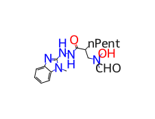 CCCCCC(CN(O)C=O)C(=O)NNc1nc2ccccc2n1C